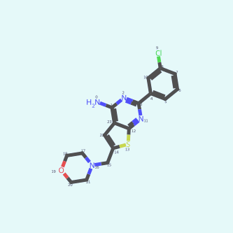 Nc1nc(-c2cccc(Cl)c2)nc2sc(CN3CCOCC3)cc12